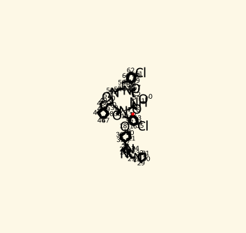 COC[C@@H]1NC(=O)[C@H](C)N(Cc2ccc(Cl)cc2Oc2ccc(-c3cnc(CN4CCCC4)n3C)cc2)C(=O)C[C@@H]([C@H]2CCc3ccccc32)C(=O)N(C)C[C@@H](Cc2ccc(Cl)cc2)N(C)C1=O